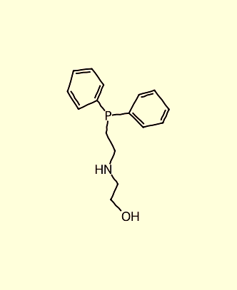 OCCNCCP(c1ccccc1)c1ccccc1